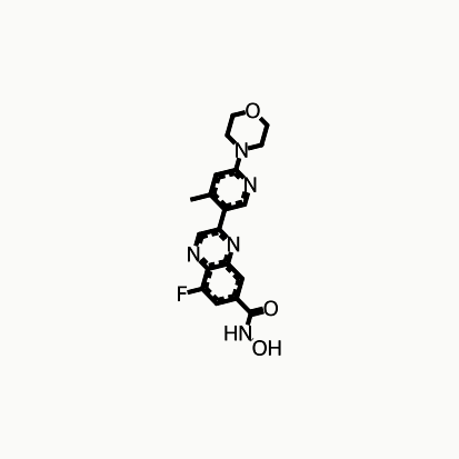 Cc1cc(N2CCOCC2)ncc1-c1cnc2c(F)cc(C(=O)NO)cc2n1